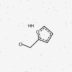 ClCc1ccco1.[HH]